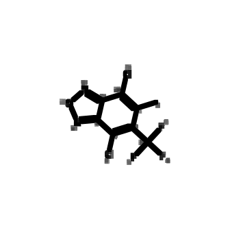 Cc1c(C(F)(F)F)c(Cl)c2nonc2c1Cl